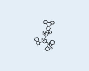 c1ccc2c(c1)Sc1ccccc1N2c1cc(-c2cnc3c(c2)oc2cc4c5ccccc5c5ccccc5c4cc23)nc(-c2cccc3ccccc23)c1